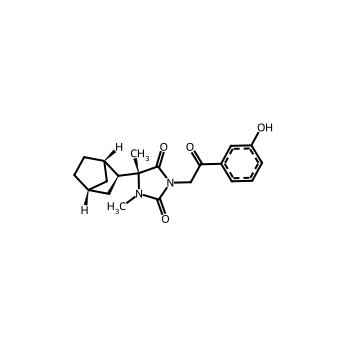 CN1C(=O)N(CC(=O)c2cccc(O)c2)C(=O)[C@@]1(C)[C@H]1C[C@@H]2CC[C@H]1C2